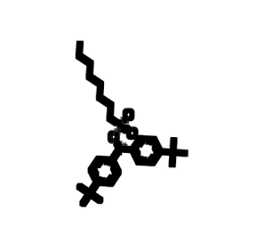 CCCCCCCCS(=O)(=O)O[I+](c1ccc(C(C)(C)C)cc1)c1ccc(C(C)(C)C)cc1